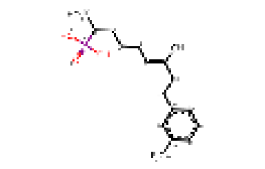 CC(=CCCCC(P(=O)(O)O)S(=O)(=O)O)CCc1cccc(C(F)(F)F)c1